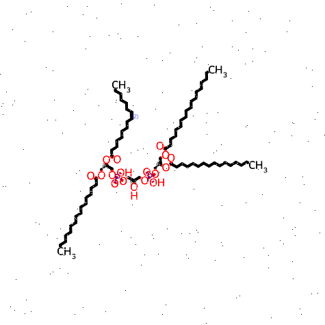 CCCCCC/C=C\CCCCCCCC(=O)O[C@H](COC(=O)CCCCCCCCCCCCCCC)COP(=O)(O)OC[C@H](O)COP(=O)(O)OC[C@@H](COC(=O)CCCCCCCCCCCCCCCCC)OC(=O)CCCCCCCCCCCCCCC